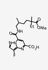 CCC(C)(CCC(C)CNC(=O)c1cc(C(=O)O)nc2c(F)cnn12)C(=O)OC